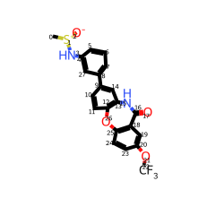 C[S+]([O-])Nc1cccc(-c2ccc3c(c2)NC(=O)c2cc(OC(F)(F)F)ccc2O3)c1